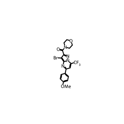 COc1ccc(-c2cc(C(F)(F)F)n3nc(C(=O)N4CCOCC4)c(Br)c3n2)cc1